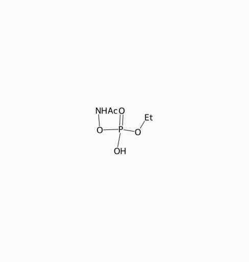 CCOP(=O)(O)ONC(C)=O